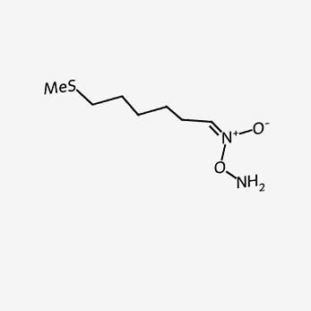 CSCCCCC/C=[N+](/[O-])ON